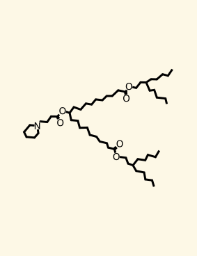 CCCCCC(CCCCC)CCOC(=O)CCCCCCCCCC(CCCCCCCCCC(=O)OCCC(CCCCC)CCCCC)OC(=O)CCCN1CCCCC1